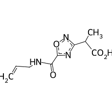 C=CCNC(=O)c1nc(C(C)C(=O)O)no1